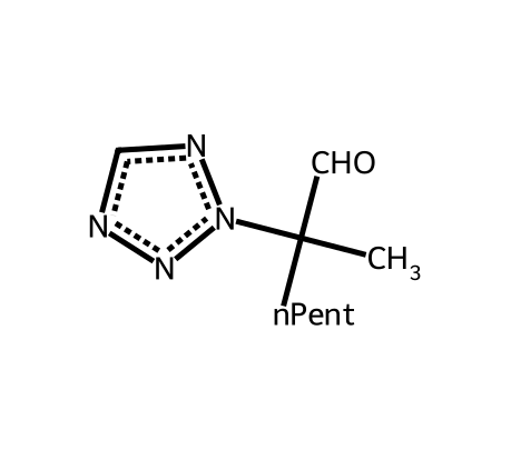 CCCCCC(C)(C=O)n1ncnn1